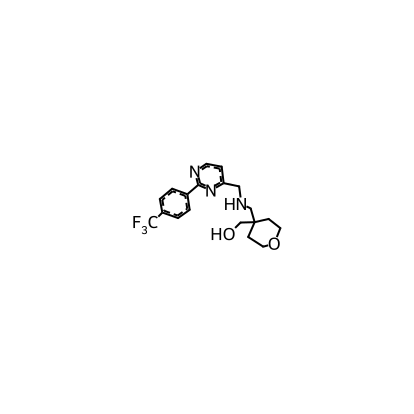 OCC1(CNCc2ccnc(-c3ccc(C(F)(F)F)cc3)n2)CCOCC1